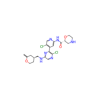 C=C1C[C@@H](CNc2cnc(Cl)c(-c3cc(NC(=O)[C@H]4CNCCO4)ncc3Cl)n2)CCO1